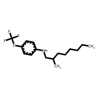 CCCCCCC(C)CNc1ccc(OC(F)(F)F)cc1